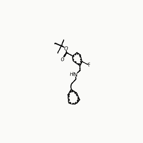 CC(C)(C)OC(=O)c1ccc(F)c(CNCCc2ccccc2)c1